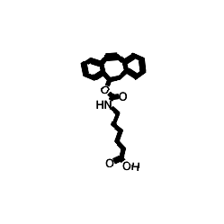 O=C(O)CCCCCNC(=O)OC1Cc2ccccc2C#Cc2ccccc21